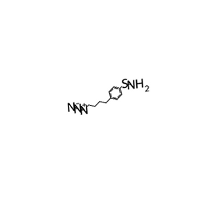 [N-]=[N+]=NCCCCc1ccc(SN)cc1